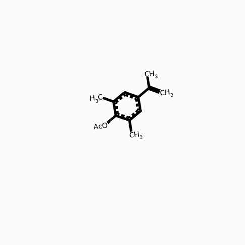 C=C(C)c1cc(C)c(OC(C)=O)c(C)c1